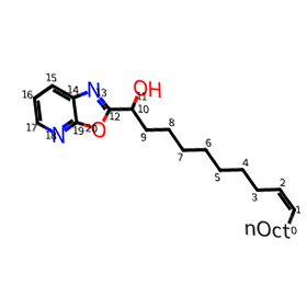 CCCCCCCC/C=C\CCCCCCCC(O)c1nc2cccnc2o1